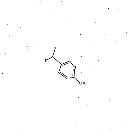 O=Cc1ccc(C(F)F)cn1